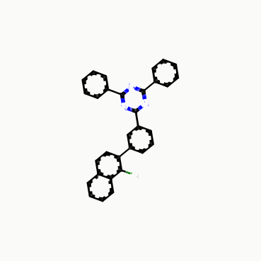 Brc1c(-c2cccc(-c3nc(-c4ccccc4)nc(-c4ccccc4)n3)c2)ccc2ccccc12